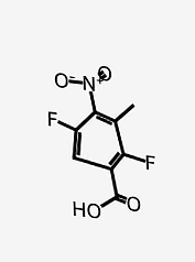 Cc1c(F)c(C(=O)O)cc(F)c1[N+](=O)[O-]